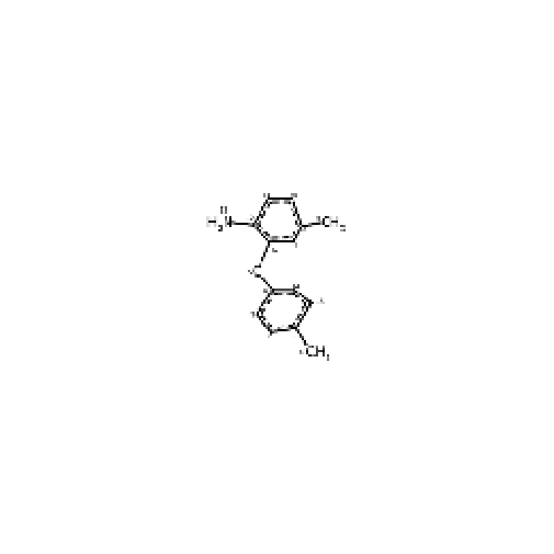 Cc1ccc(Oc2cc(C)ccc2N)cc1